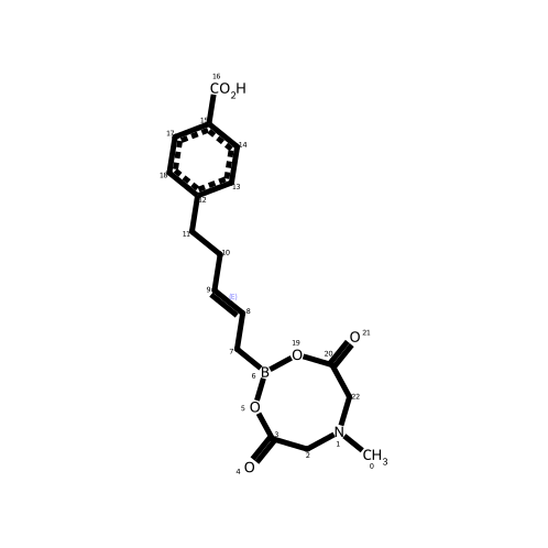 CN1CC(=O)OB(C/C=C/CCc2ccc(C(=O)O)cc2)OC(=O)C1